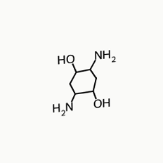 NC1CC(O)C(N)CC1O